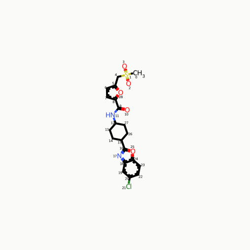 CS(=O)(=O)Cc1ccc(C(=O)NC2CCC(c3nc4cc(Cl)ccc4o3)CC2)o1